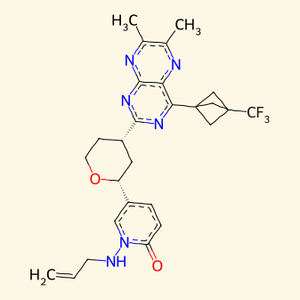 C=CCNn1cc([C@H]2C[C@@H](c3nc(C45CC(C(F)(F)F)(C4)C5)c4nc(C)c(C)nc4n3)CCO2)ccc1=O